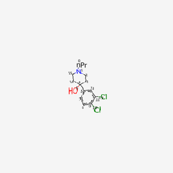 CCCN1CCC(O)(c2ccc(Cl)c(Cl)c2)CC1